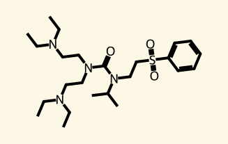 CCN(CC)CCN(CCN(CC)CC)C(=O)N(CCS(=O)(=O)c1ccccc1)C(C)C